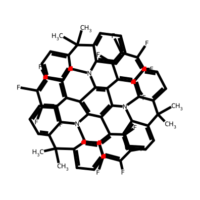 CC1(C)c2ccccc2N(c2c(-c3c(F)c(F)c(F)c(F)c3F)c(N3c4ccccc4C(C)(C)c4ccccc43)c(-c3c(F)c(F)c(F)c(F)c3F)c(N3c4ccccc4C(C)(C)c4ccccc43)c2-c2c(F)c(F)c(F)c(F)c2F)c2ccccc21